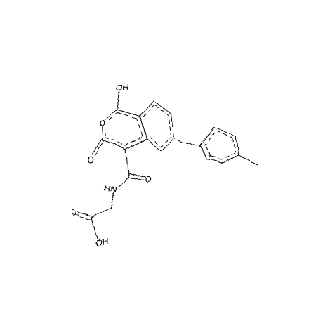 Cc1ccc(-c2ccc3c(O)oc(=O)c(C(=O)NCC(=O)O)c3c2)cc1